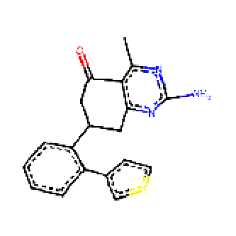 Cc1nc(N)nc2c1C(=O)CC(c1ccccc1-c1ccsc1)C2